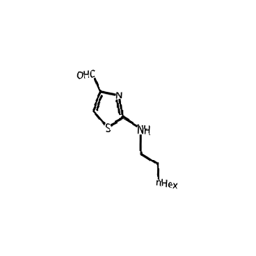 CCCCCCCCNc1nc(C=O)cs1